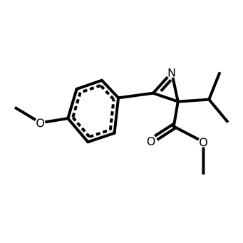 COC(=O)C1(C(C)C)N=C1c1ccc(OC)cc1